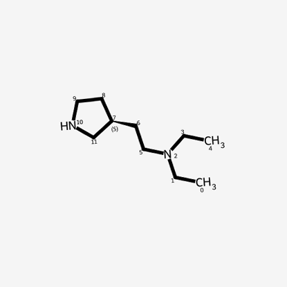 CCN(CC)CC[C@@H]1CCNC1